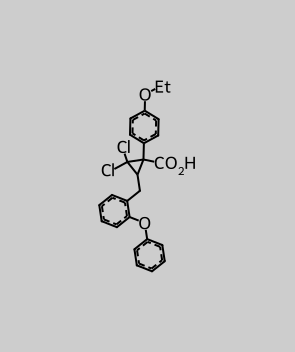 CCOc1ccc(C2(C(=O)O)C(Cc3ccccc3Oc3ccccc3)C2(Cl)Cl)cc1